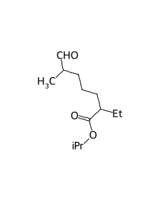 CCC(CCCC(C)C=O)C(=O)OC(C)C